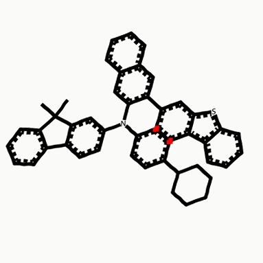 CC1(C)c2ccccc2-c2ccc(N(c3ccc(C4CCCCC4)cc3)c3cc4ccccc4cc3-c3ccc4c(c3)sc3ccccc34)cc21